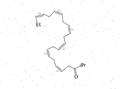 CC/C=C\C/C=C\C/C=C\C/C=C\C/C=C\C/C=C\CC(=O)C(C)C